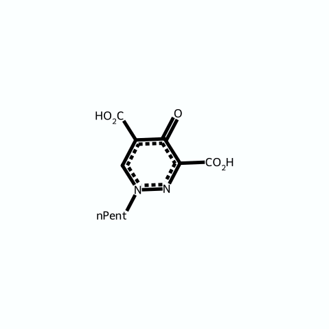 CCCCCn1cc(C(=O)O)c(=O)c(C(=O)O)n1